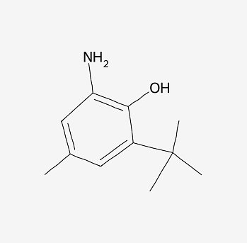 Cc1cc(N)c(O)c(C(C)(C)C)c1